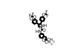 CC1(C)Cc2cc(NC(=O)N3CC(c4ccc5c(c4)OC(F)(F)O5)=C(c4ccc(OC(F)F)cc4)N3)ccc2O1